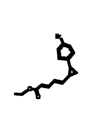 CCOC(=O)C=CC=CC1CC1c1ccc(Br)cc1